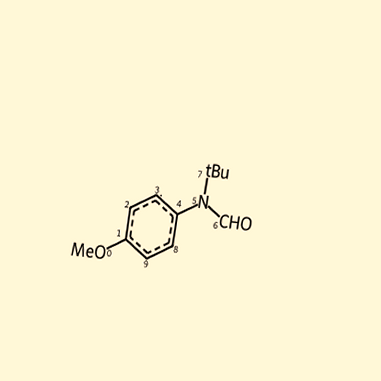 COc1c[c]c(N(C=O)C(C)(C)C)cc1